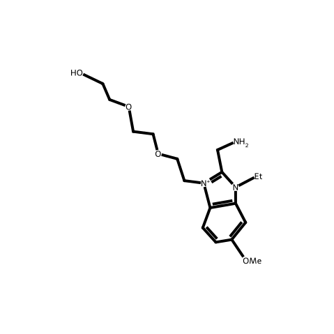 CCn1c(CN)[n+](CCOCCOCCO)c2ccc(OC)cc21